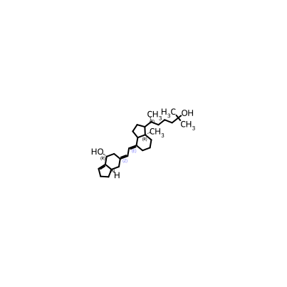 C[C@H](CCCC(C)(C)O)C1CCC2/C(=C/C=C3/C[C@H]4CCC=C4[C@H](O)C3)CCC[C@@]21C